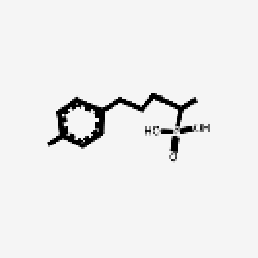 Cc1ccc(CCCC(C)P(=O)(O)O)cc1